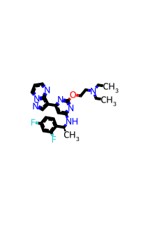 CCN(CC)CCOc1nc(N[C@@H](C)c2ccc(F)cc2F)cc(-c2cnn3cccnc23)n1